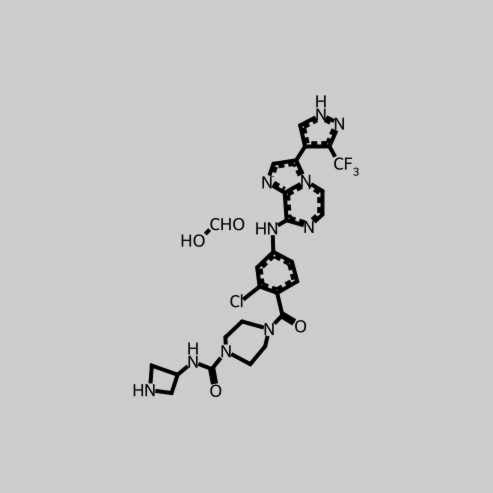 O=C(NC1CNC1)N1CCN(C(=O)c2ccc(Nc3nccn4c(-c5c[nH]nc5C(F)(F)F)cnc34)cc2Cl)CC1.O=CO